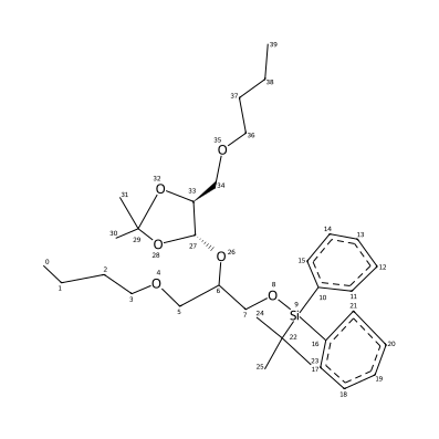 CCCCOCC(CO[Si](c1ccccc1)(c1ccccc1)C(C)(C)C)O[C@@H]1OC(C)(C)O[C@H]1COCCCC